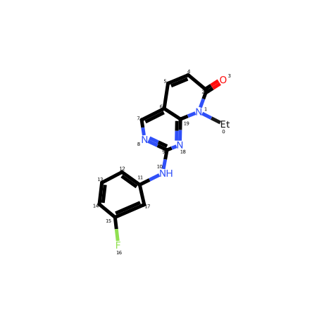 CCn1c(=O)ccc2cnc(Nc3cccc(F)c3)nc21